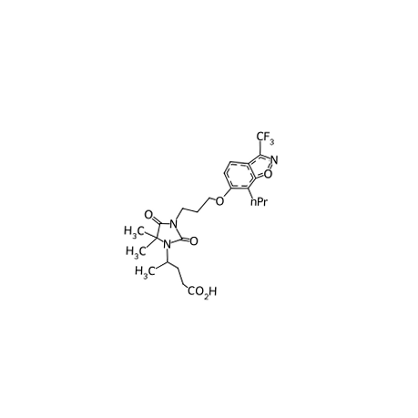 CCCc1c(OCCCN2C(=O)N(C(C)CCC(=O)O)C(C)(C)C2=O)ccc2c(C(F)(F)F)noc12